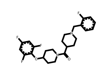 O=C(C1CCN(Cc2ccccc2F)CC1)N1CCC(Oc2c(F)cc(F)cc2F)CC1